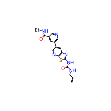 C=CCNC(=O)Nc1nc2cc(-c3cncc(C(=O)NCC)c3)cnc2s1